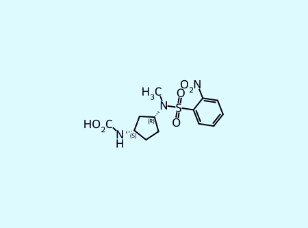 CN([C@@H]1CC[C@H](NC(=O)O)C1)S(=O)(=O)c1ccccc1[N+](=O)[O-]